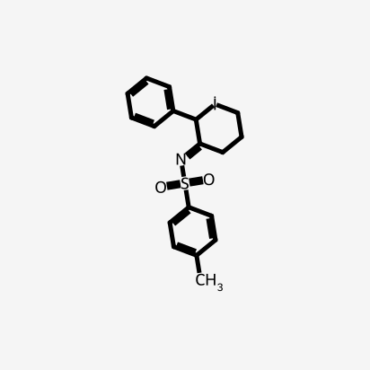 Cc1ccc(S(=O)(=O)N=C2CCC[I]C2c2ccccc2)cc1